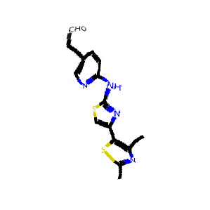 Cc1nc(C)c(-c2csc(Nc3ccc(CC=O)cn3)n2)s1